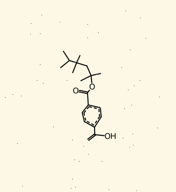 C=C(O)c1ccc(C(=O)OC(C)(C)CC(C)(C)C(C)C)cc1